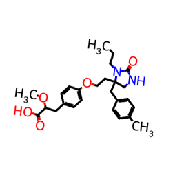 CCCN1C(=O)NCC1(CCOc1ccc(CC(OC)C(=O)O)cc1)Cc1ccc(C)cc1